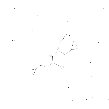 CCC(OCC1CO1)C(=O)N(CC1CO1)CC1CO1